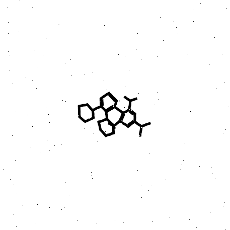 CC(C)c1cc(C(C)C)c(-c2[c]ccc(C3CCCCC3)c2C2CCCCC2)c(C(C)C)c1